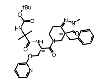 CN1N=C2CCN(C(=O)[C@@H](COc3ccccn3)NC(=O)C(C)(C)NC(=O)OC(C)(C)C)C[C@@]2(Cc2ccccc2)C1=O